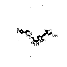 Cc1nc(-c2nnn(C)c2COc2nccc(C3CC(F)(F)C3)n2)ccc1C#CC1(CC(=O)O)CC1